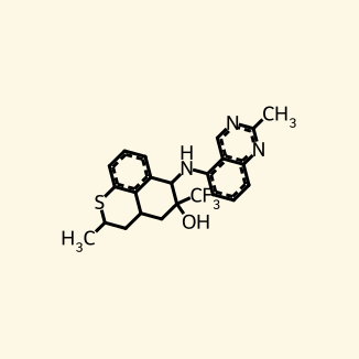 Cc1ncc2c(NC3c4cccc5c4C(CC(C)S5)CC3(O)C(F)(F)F)cccc2n1